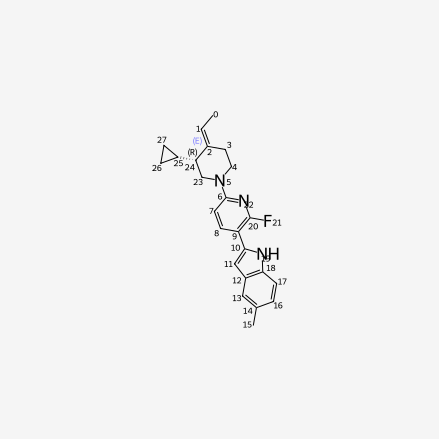 C/C=C1\CCN(c2ccc(-c3cc4cc(C)ccc4[nH]3)c(F)n2)C[C@@H]1C1CC1